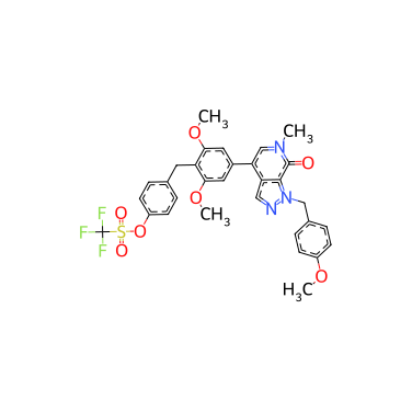 COc1ccc(Cn2ncc3c(-c4cc(OC)c(Cc5ccc(OS(=O)(=O)C(F)(F)F)cc5)c(OC)c4)cn(C)c(=O)c32)cc1